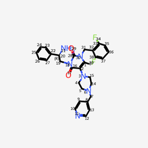 Cc1c(N2CCN(Cc3ccncc3)CC2)c(=O)n(C[C@H](N)c2ccccc2)c(=O)n1Cc1c(F)cccc1F